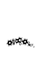 O=C1C2CN(S(=O)(=O)c3ccccc3)CC2CCN1c1ccc(OCC(F)(F)F)cc1